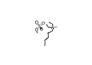 CCCCC[N+](C)(CC)CC.COS(=O)(=O)[O-]